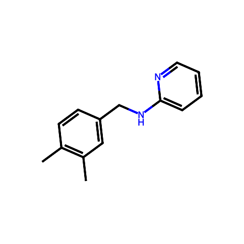 Cc1ccc(CNc2ccccn2)cc1C